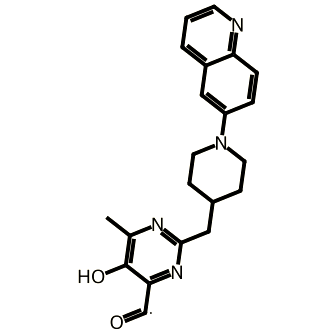 Cc1nc(CC2CCN(c3ccc4ncccc4c3)CC2)nc([C]=O)c1O